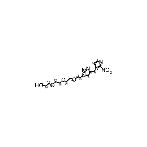 O=[N+]([O-])c1nccn1Cc1cn(CCOCCOCCOCCO)nn1